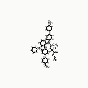 C=COC(=O)C(C)(CC)CC(C)n1c2ccc(-c3ccc(CCCC)cc3)cc2c2ccc3c(c4ccc(-c5ccc(CCCC)cc5)cc4n3-c3ccccc3)c21